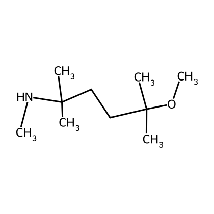 CNC(C)(C)CCC(C)(C)OC